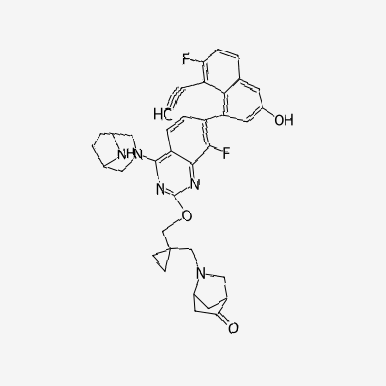 C#Cc1c(F)ccc2cc(O)cc(-c3ccc4c(N5CC6CCC(C5)N6)nc(OCC5(CN6CC7CC6CC7=O)CC5)nc4c3F)c12